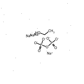 CCO.O=P([O-])([O-])OP(=O)([O-])[O-].[Na+].[Na+].[Na+].[Na+]